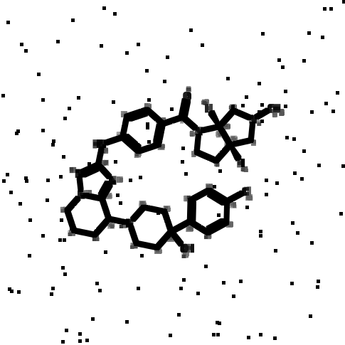 CN1C[C@@H]2CCN(C(=O)c3ccc(Nc4nc5n(n4)CCCC5N4CCC(O)(c5ccc(Cl)cc5)CC4)cc3)[C@@H]2C1